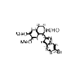 COc1cc2c(cc1OC)C(c1cc3ncc(Br)cn3n1)N(C=O)CC2